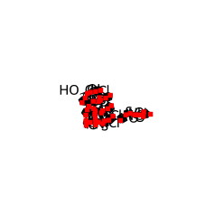 CC(C)(C(=O)Nc1nc(-c2ccc(Cl)cc2)cs1)S(=O)(=O)c1ccccc1.CC(C)(C(=O)Nc1nc(-c2ccccc2)co1)S(=O)(=O)c1ccccc1.CCc1sc(NC(=O)C(C)(C)S(=O)(=O)c2ccccc2)nc1-c1ccccc1.Cc1ccc(S(=O)(=O)C(C)(C)C(=O)Nc2nc(-c3ccc(Cl)cc3)cs2)cc1.O=C(O)C1(S(=O)(=O)c2ccc(Cl)cc2)CC1